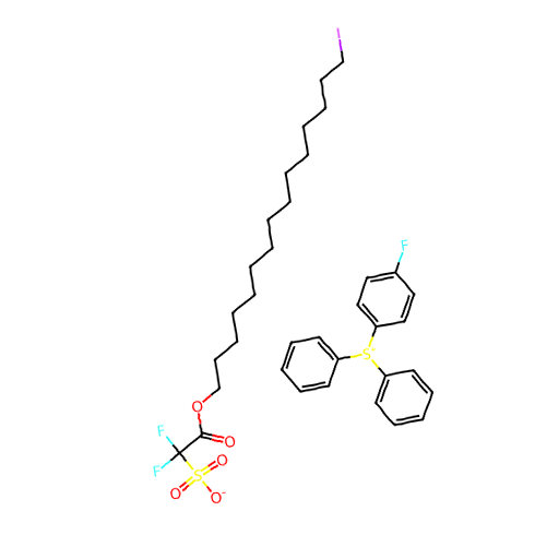 Fc1ccc([S+](c2ccccc2)c2ccccc2)cc1.O=C(OCCCCCCCCCCCCCCCI)C(F)(F)S(=O)(=O)[O-]